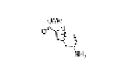 COC(=O)c1cc2cc(N)ccc2[nH]1